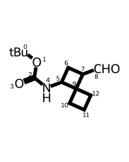 CC(C)(C)OC(=O)NC1CC(C=O)C12CCC2